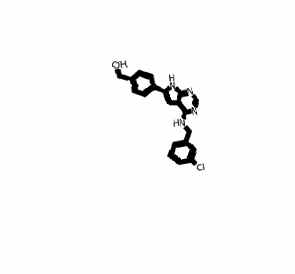 OCc1ccc(-c2cc3c(NCc4cccc(Cl)c4)ncnc3[nH]2)cc1